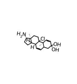 C[C@]12CC[C@@]3(Cl)[C@@H](C=CC4CC(O)(O)C=C[C@@]43C)[C@@H]1CC[C@@H]2N